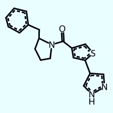 O=C(c1csc(-c2cn[nH]c2)c1)N1CCCC1Cc1ccccc1